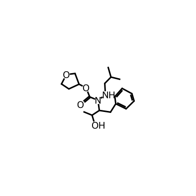 CC(C)CNN(C(=O)OC1CCOC1)C(Cc1ccccc1)C(C)O